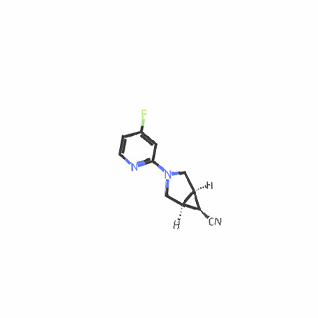 N#C[C@H]1[C@H]2CN(c3cc(F)ccn3)C[C@@H]12